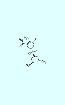 Cc1c(F)cc(S(=O)(=O)N2C[C@H](C)C[C@H](C)C2)cc1C(=O)O